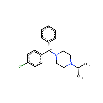 CC(C)N1CCN([C@@H](c2ccccc2)c2ccc(Cl)cc2)CC1